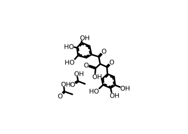 CC(=O)O.CC(=O)O.O=C(O)C(C(=O)c1cc(O)c(O)c(O)c1)C(=O)c1cc(O)c(O)c(O)c1